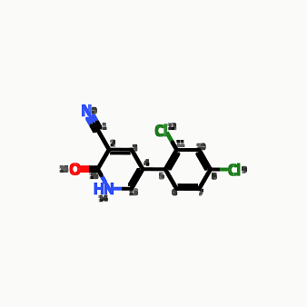 N#Cc1cc(-c2ccc(Cl)cc2Cl)c[nH]c1=O